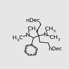 CCCCCCCCCCCCC(CCCCCCCCCCCC)(C(c1ccccc1)N(C)C)N(C)C